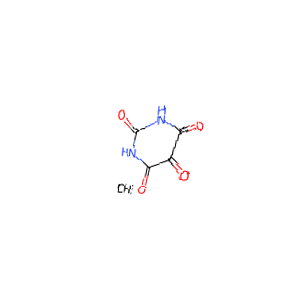 O=C1NC(=O)C(=O)C(=O)N1.[CH]